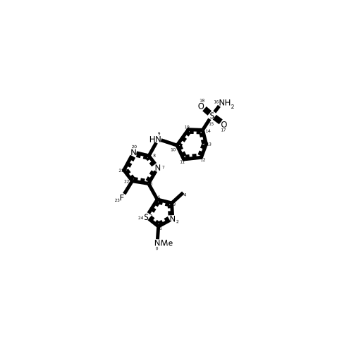 CNc1nc(C)c(-c2nc(Nc3cccc(S(N)(=O)=O)c3)ncc2F)s1